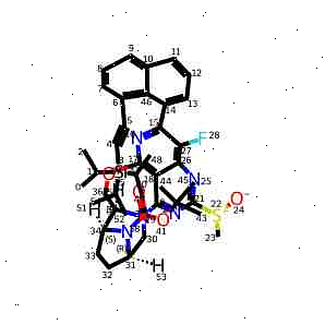 CC(C)[Si](C#Cc1cccc2cccc(-c3nc4c5c(nc([S+](C)[O-])nc5c3F)N3C[C@H]5CC[C@@H]([C@H]3CO4)N5C(=O)OC(C)(C)C)c12)(C(C)C)C(C)C